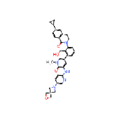 Cn1cc(-c2cccc(N3CCc4cc(C5CC5)ccc4C3=O)c2CO)cc(Nc2ccc(N3CC4(COC4)C3)cn2)c1=O